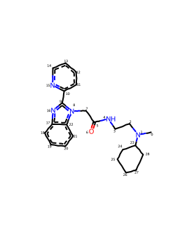 CN(CCNC(=O)Cn1c(-c2ccccn2)nc2ccccc21)C1CCCCC1